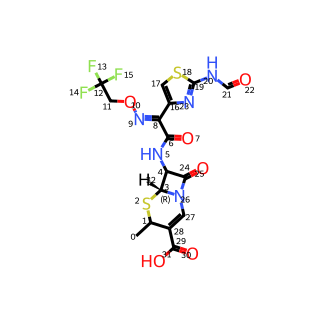 CC1S[C@@H]2C(NC(=O)C(=NOCC(F)(F)F)c3csc(NC=O)n3)C(=O)N2C=C1C(=O)O